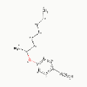 C#Cc1ccc(OC(C)CCCCCC)cc1